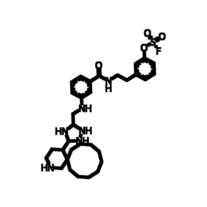 O=C(NCCc1cccc(OS(=O)(=O)F)c1)c1cccc(NCC2NNC(C3CCNCC34CCCCCCCCC4)N2)c1